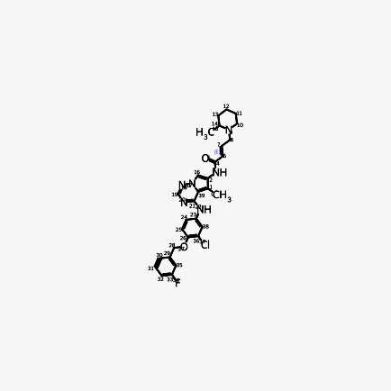 Cc1c(NC(=O)/C=C/CN2CCCCC2C)cn2ncnc(Nc3ccc(OCc4c#ccc(F)c4)c(Cl)c3)c12